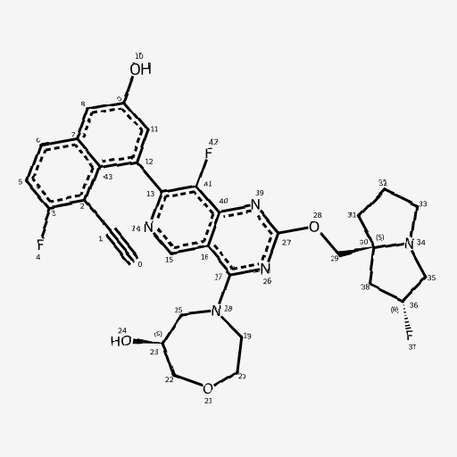 C#Cc1c(F)ccc2cc(O)cc(-c3ncc4c(N5CCOC[C@@H](O)C5)nc(OC[C@@]56CCCN5C[C@H](F)C6)nc4c3F)c12